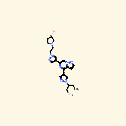 CCC(CC)n1cc(-c2nc(-c3cnn(CCN4CC[C@H](O)C4)c3)cn3nccc23)cn1